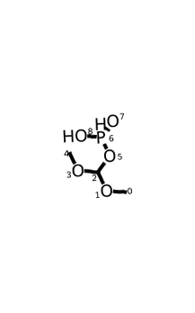 COC(OC)O[PH](=O)O